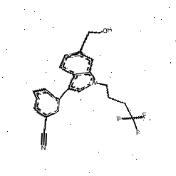 N#Cc1cccc(-c2cn(CCCC(F)(F)F)c3cc(CO)ccc23)c1